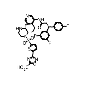 O=C(C[C@@H](c1ccc(F)cc1)c1cc(F)cc(F)c1)Nc1cncc(F)c1CC[C@H]1CNCCN1S(=O)(=O)c1ccc(-c2noc(C(=O)O)n2)s1